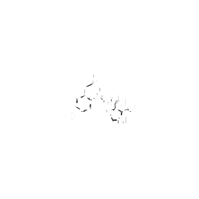 Br.CCCCCCCCN1CC(C)=Cc2ccccc21.Clc1nc[nH]c1Cl